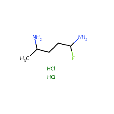 CC(N)CCC(N)F.Cl.Cl